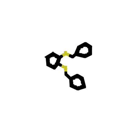 [c]1[c]c(SCc2ccccc2)c(SCc2ccccc2)cc1